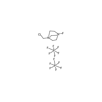 F[N+]12CC[N+](CCl)(CC1)CC2.F[P-](F)(F)(F)(F)F.F[P-](F)(F)(F)(F)F